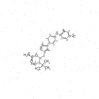 CC(C)(C)C(O)C(Cc1nc(-c2ccc(Oc3ccc(Cl)cn3)cc2)no1)OC(N)=O